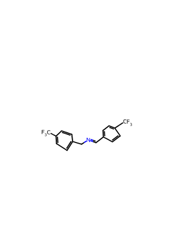 FC(F)(F)c1ccc(/C=N/Cc2ccc(C(F)(F)F)cc2)cc1